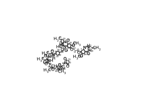 C=C1C[C@H]2C=Nc3cc(OCCCOc4cc5c(cc4OC)C(=O)N4CC(=C)C[C@H]4[C@H](O)N5C(=O)OCc4ccc(NC(=O)C(C)NC(=O)[C@@H](NC(=O)CCC(C)(C)OCCC(C)(C)NC(=O)CCN5C(=O)C=CC5=O)C(C)C)cc4)c(OC)cc3C(=O)N2C1